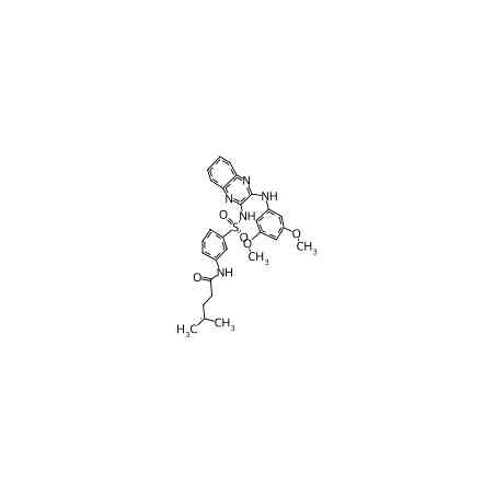 COc1cc(Nc2nc3ccccc3nc2NS(=O)(=O)c2cccc(NC(=O)CC[C](C)C)c2)cc(OC)c1